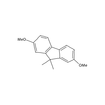 COc1ccc2c(c1)C(C)(C)c1cc(OC)ccc1-2